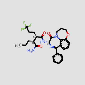 CCC[C@H](C(N)=O)[C@@H](CCC(F)(F)F)C(=O)N[C@H]1N=C(c2ccccc2)c2cccc3c2N(CCCO3)C1=O